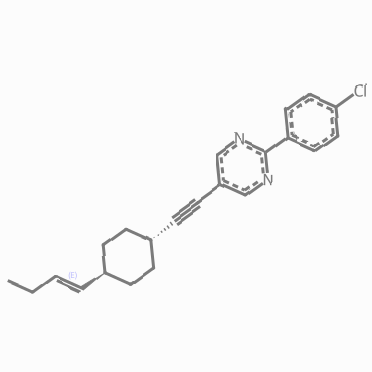 CC/C=C/[C@H]1CC[C@H](C#Cc2cnc(-c3ccc(Cl)cc3)nc2)CC1